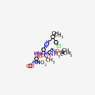 C[C@H]1CCN(c2cc(N3CCN(CCC4=C(c5ccc(Cl)cc5)CC(C)(C)CC4)CC3)ccc2C(=O)NS(=O)(=O)c2ccc(NC[C@@H]3COCCO3)c([N+](=O)[O-])c2)c2cc3ccn(COCC[Si](C)(C)C)c3nc2O1